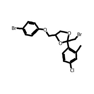 Cc1cc(Cl)ccc1C1(CBr)OCC(COc2ccc(Br)cc2)O1